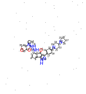 CN(NC(=O)Nc1cccc2c1C(=O)c1c(-c3ccc(N4CCC(N5CCCC5)CC4)cc3)n[nH]c1-2)C1CCOCC1